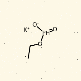 CCO[PH](=O)[O-].[K+]